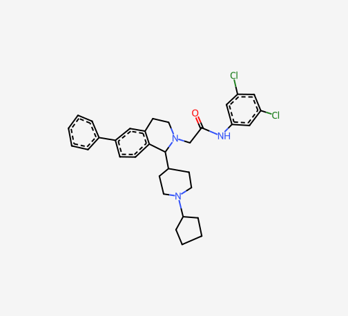 O=C(CN1CCc2cc(-c3ccccc3)ccc2C1C1CCN(C2CCCC2)CC1)Nc1cc(Cl)cc(Cl)c1